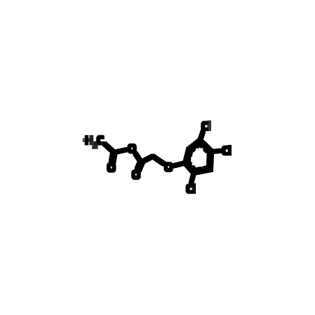 [CH2]C(=O)OC(=O)COc1cc(Cl)c(Cl)cc1Cl